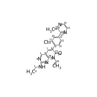 CCNc1ncc2cc(-c3ccc(-c4nccnc4C)cc3Cl)c(=O)n(CC)c2n1